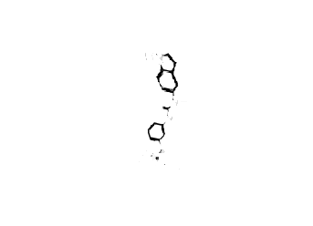 CN(C)Sc1cccc(NC(=O)Nc2ccc3[nH]ccc3c2)c1